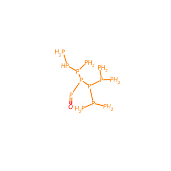 O=PP(P(P)PP)P(P(P)P)P(P)P